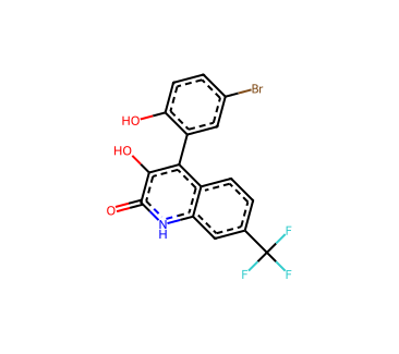 O=c1[nH]c2cc(C(F)(F)F)ccc2c(-c2cc(Br)ccc2O)c1O